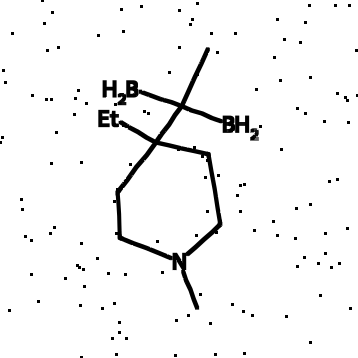 BC(B)(C)C1(CC)CCN(C)CC1